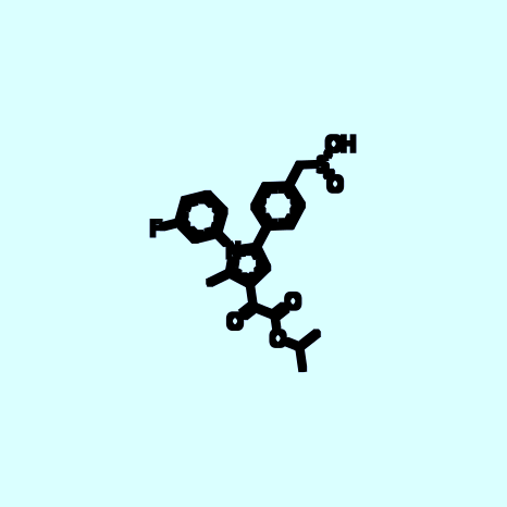 Cc1c(C(=O)C(=O)OC(C)C)cc(-c2ccc(CS(=O)O)cc2)n1-c1cccc(F)c1